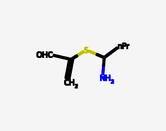 C=C(C=O)SC(N)CCC